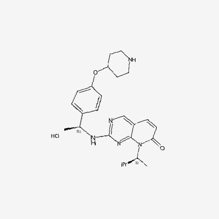 CC(C)[C@H](C)n1c(=O)ccc2cnc(N[C@@H](C)c3ccc(OC4CCNCC4)cc3)nc21.Cl